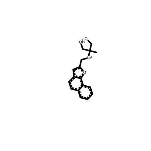 CC(CO)(CO)NCc1cc2ccc3ccccc3c2o1